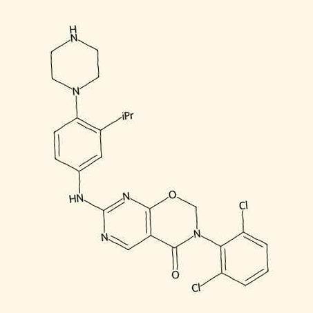 CC(C)c1cc(Nc2ncc3c(n2)OCN(c2c(Cl)cccc2Cl)C3=O)ccc1N1CCNCC1